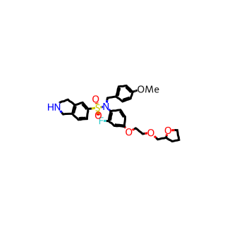 COc1ccc(CN(c2ccc(OCCOCC3CCCO3)cc2F)S(=O)(=O)c2ccc3c(c2)CCNC3)cc1